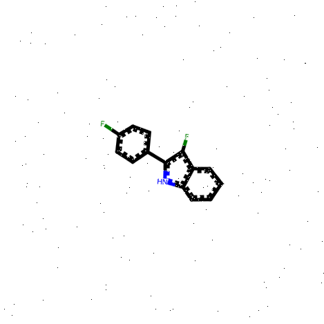 Fc1ccc(-c2[nH]c3cc[c]cc3c2F)cc1